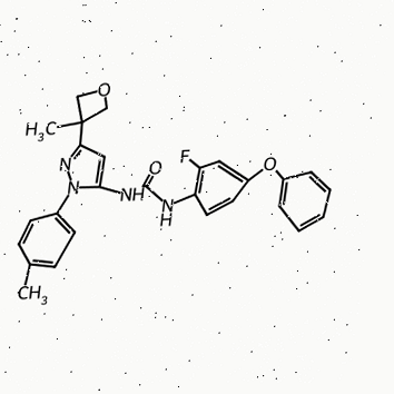 Cc1ccc(-n2nc(C3(C)COC3)cc2NC(=O)Nc2ccc(Oc3ccccc3)cc2F)cc1